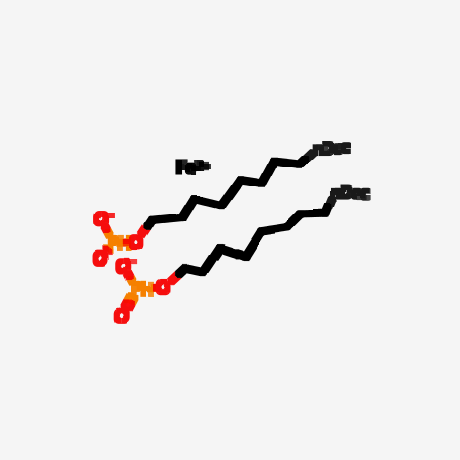 CCCCCCCCCCCCCCCCCCO[PH](=O)[O-].CCCCCCCCCCCCCCCCCCO[PH](=O)[O-].[Fe+2]